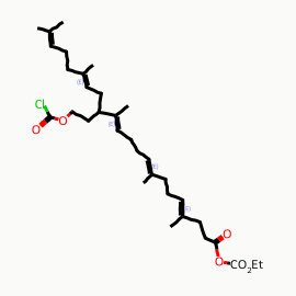 CCOC(=O)OC(=O)CC/C(C)=C/CC/C(C)=C/CC/C=C(\C)C(C/C=C(\C)CCC=C(C)C)CCOC(=O)Cl